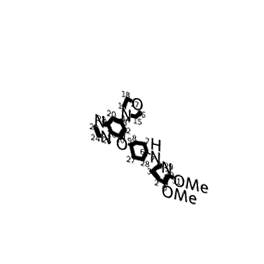 COc1ccc(N[C@H]2CC[C@@H](Oc3cc(N4CCOCC4)cc4nccnc34)CC2)nc1OC